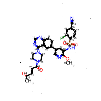 COc1ncc(-c2ccc3ncnc(N4CCN(C(=O)/C=C/C(C)=O)CC4)c3c2)cc1NS(=O)(=O)c1ccc(C#N)cc1F